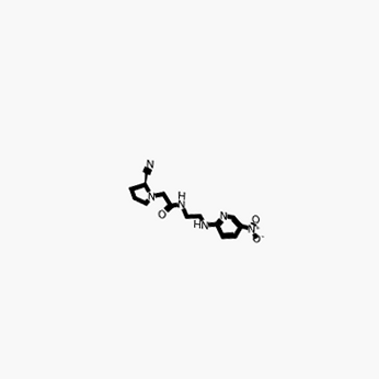 N#C[C@@H]1CCCN1CC(=O)NCCNc1ccc([N+](=O)[O-])cn1